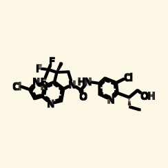 CC[C@@H](CO)c1ncc(NC(=O)N2C[C@@](C)(C(F)(F)F)c3c2cnc2cc(Cl)nn32)cc1Cl